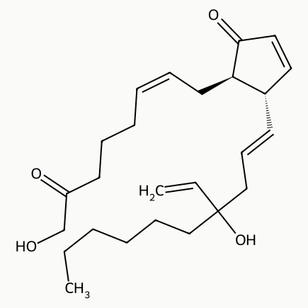 C=CC(O)(C/C=C/[C@H]1C=CC(=O)[C@@H]1C/C=C\CCCC(=O)CO)CCCCCC